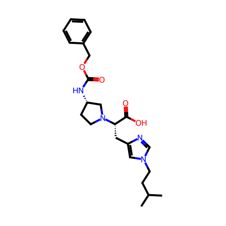 CC(C)CCn1cnc(C[C@@H](C(=O)O)N2CC[C@H](NC(=O)OCc3ccccc3)C2)c1